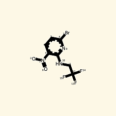 O=[N+]([O-])c1ccc(Br)nc1NCC(F)(F)F